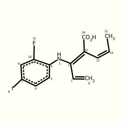 C=C/C(Nc1ccc(I)cc1F)=C(\C=C/C)C(=O)O